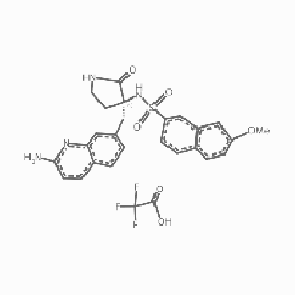 COc1ccc2ccc(S(=O)(=O)N[C@@]3(Cc4ccc5ccc(N)nc5c4)CCNC3=O)cc2c1.O=C(O)C(F)(F)F